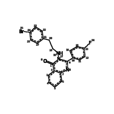 O=c1c2ccccc2nc(-c2ccc(F)cc2)n1NCCc1ccc(Br)cc1